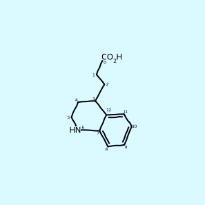 O=C(O)CCC1CCNc2ccccc21